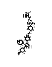 CN(C)NC=CCS(=O)(=O)c1ccc(C=CN2CC=C(c3c[nH]c(-c4ccc(F)cc4)c3-c3ccncc3)CC2)cc1